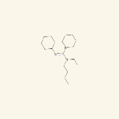 CCCCN(CC)/C(=N/C1CCCCC1)N1CCCCC1